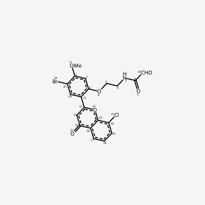 COc1cc(OCCNC(=O)C=O)c(-c2cc(=O)c3cccc(Cl)c3o2)cc1Br